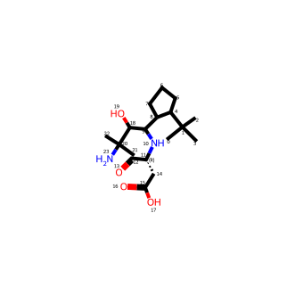 CC(C)(C)C1CCCC1C(N[C@@H](C=O)CC(=O)O)C(O)C(C)(C)N